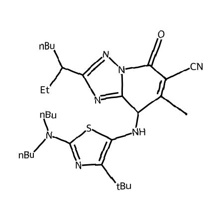 CCCCC(CC)c1nc2n(n1)C(=O)C(C#N)=C(C)C2Nc1sc(N(CCCC)CCCC)nc1C(C)(C)C